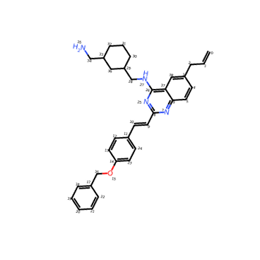 C=CCc1ccc2nc(/C=C/c3ccc(OCc4ccccc4)cc3)nc(NCC3CCCC(CN)C3)c2c1